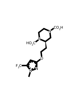 Cn1nc(OCC[C@@H]2CN(C(=O)O)CCN2C(=O)O)cc1C(F)(F)F